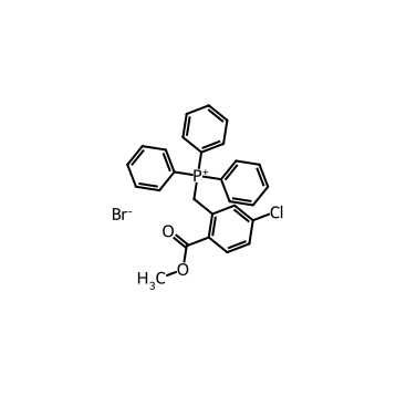 COC(=O)c1ccc(Cl)cc1C[P+](c1ccccc1)(c1ccccc1)c1ccccc1.[Br-]